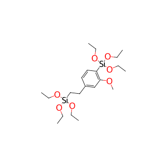 CCO[Si](CCc1ccc([Si](OCC)(OCC)OCC)c(OC)c1)(OCC)OCC